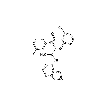 C[C@H](Nc1ncnn2cncc12)c1cc2cccc(Cl)c2c(=O)n1-c1cccc(F)c1